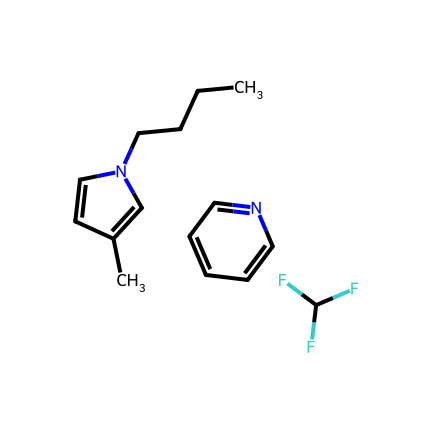 CCCCn1ccc(C)c1.FC(F)F.c1ccncc1